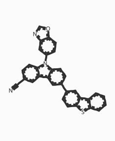 N#Cc1ccc2c(c1)c1cc(-c3ccc4sc5ccccc5c4c3)ccc1n2-c1ccc2ocnc2c1